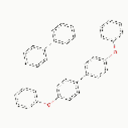 c1ccc(-c2ccccc2)cc1.c1ccc(Oc2ccc(-c3ccc(Oc4ccccc4)cc3)cc2)cc1